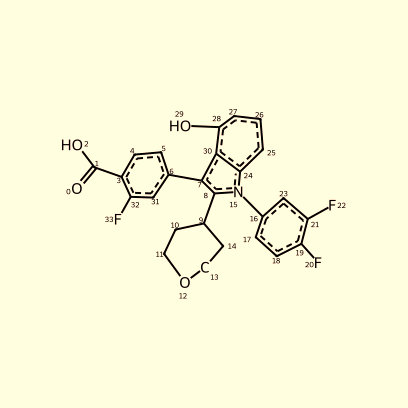 O=C(O)c1ccc(-c2c(C3CCOCC3)n(-c3ccc(F)c(F)c3)c3cccc(O)c23)cc1F